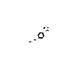 CCOCSc1ccc(-n2cnnn2)cc1